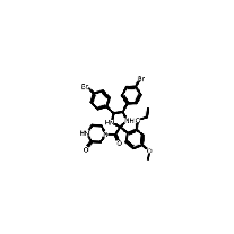 CCOc1cc(OC)ccc1C1(C(=O)N2CCNC(=O)C2)NC(c2ccc(Br)cc2)C(c2ccc(Br)cc2)N1